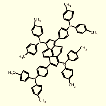 Cc1ccc(N(c2ccc(C)cc2)c2ccc(-c3cc(N(c4ccc(C)cc4)c4ccc(C)cc4)c4ccc5c(-c6ccc(N(c7ccc(C)cc7)c7ccc(C)cc7)cc6)cc(N(c6ccc(C)cc6)c6ccc(C)cc6)c6ccc3c4c56)cc2)cc1